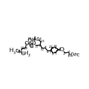 CCCCCCCCCCCCOc1ccc(CCCC(COP(=O)(O)OCCN(C)C)CC(C)=O)cc1